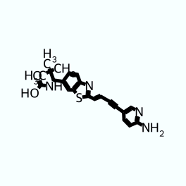 CC(C)(C)C(NC(=O)O)c1ccc2nc(/C=C/C#Cc3ccc(N)nc3)sc2c1